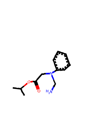 CC(C)OC(=O)CN(CN)c1ccccc1